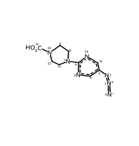 [N-]=[N+]=Nc1cnc(N2CCN(C(=O)O)CC2)nc1